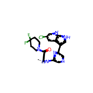 C[C@@H](Nc1cncc(-c2c[nH]c3ncc(Cl)cc23)n1)C(=O)N1CCC(F)(F)CC1